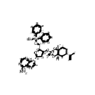 C=C(C)[C@H]1CC[C@@]2(C)S[P@@](=S)(O[C@H]3C[C@H](n4cnc5c(N)ncnc54)O[C@@H]3CO[Si](c3ccccc3)(c3ccccc3)C(C)(C)C)O[C@@H]2C1